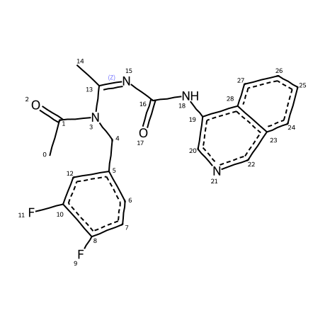 CC(=O)N(Cc1ccc(F)c(F)c1)/C(C)=N\C(=O)Nc1cncc2ccccc12